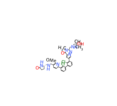 COc1nc(-c2cccc(-c3cccc(-c4cc5c(=O)n(C)c(CNCC(C)(C)O)nn5c4)c3Cl)c2Cl)ccc1CNC[C@@H]1CCC(=O)N1